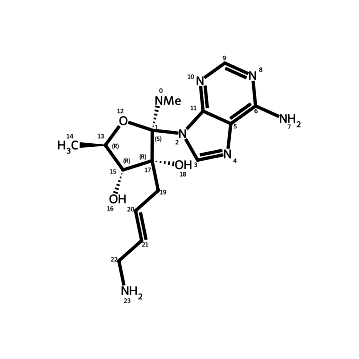 CN[C@@]1(n2cnc3c(N)ncnc32)O[C@H](C)[C@@H](O)[C@]1(O)CC=CCN